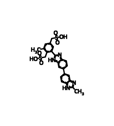 Cc1nc2cc(-c3ccc4nc(-c5cc(CS(=O)(=O)O)cc(C)c5CS(=O)(=O)O)[nH]c4c3)ccc2[nH]1